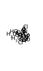 C#CC(C)Oc1cc(N2C(=O)C3=C(CCCC3)C2=O)c(F)cc1Cl.CC(Oc1ccc(Oc2cnc3cc(Cl)ccc3n2)cc1)C(=O)O